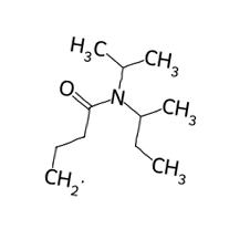 [CH2]CCC(=O)N(C(C)C)C(C)CC